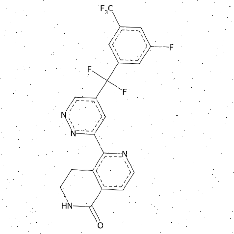 O=C1NCCc2c1ccnc2-c1cc(C(F)(F)c2cc(F)cc(C(F)(F)F)c2)cnn1